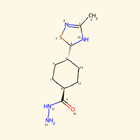 CC1=NSC([C@H]2CC[C@H](C(=O)NN)CC2)N1